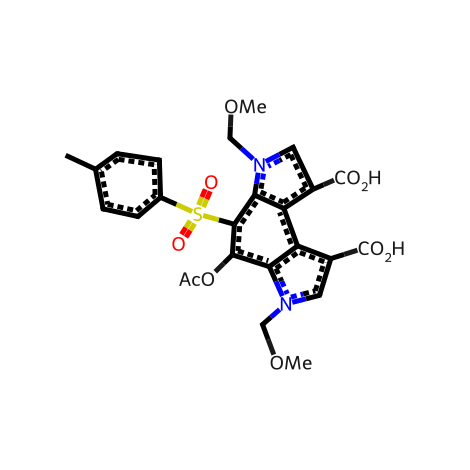 COCn1cc(C(=O)O)c2c3c(C(=O)O)cn(COC)c3c(S(=O)(=O)c3ccc(C)cc3)c(OC(C)=O)c21